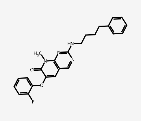 Cn1c(=O)c(Oc2ccccc2F)cc2cnc(NCCCCc3ccccc3)nc21